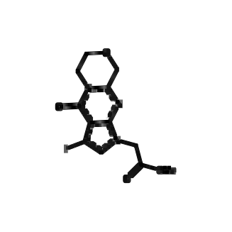 COC(=O)Cn1cc(I)c2c(=O)n3c(nc21)COCC3